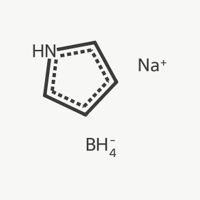 [BH4-].[Na+].c1cc[nH]c1